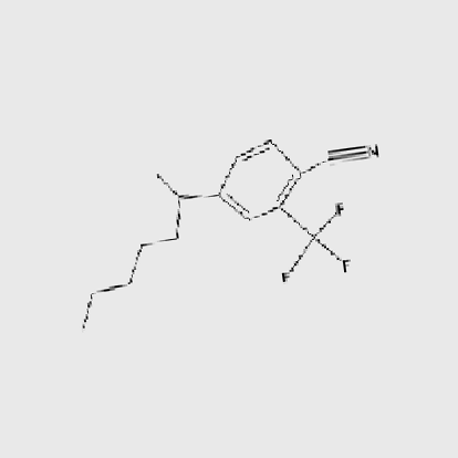 CCCCCC(C)c1ccc(C#N)c(C(F)(F)F)c1